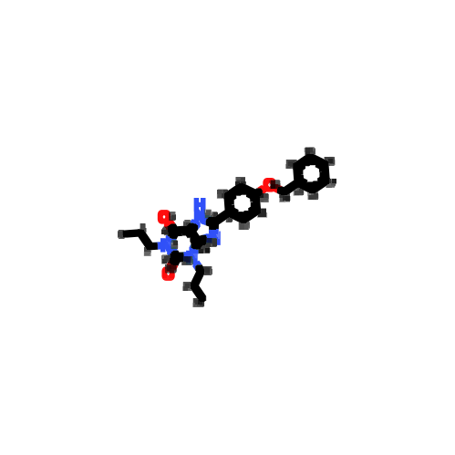 CCCn1c(=O)c2[nH]c(-c3ccc(OCc4ccccc4)cc3)nc2n(CCC)c1=O